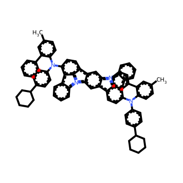 Cc1ccc(N(c2ccc(C3CCCCC3)cc2)c2ccc3c4cc5c(cc4n4c6ccccc6c2c34)c2ccc(N(c3ccc(C4CCCCC4)cc3)c3ccc(C)cc3-c3ccccc3)c3c4ccccc4n5c23)c(-c2ccccc2)c1